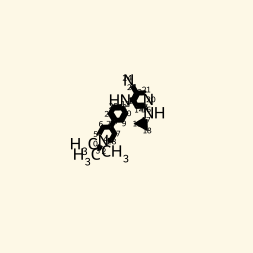 CC(C)(C)N1CCC(c2ccc(Nc3cc(NC4CC4)ncc3C#N)cc2)CC1